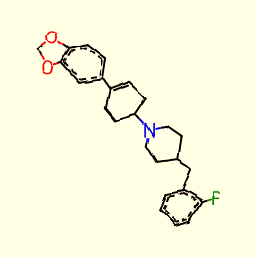 Fc1ccccc1CC1CCN(C2CC=C(c3ccc4c(c3)OCO4)CC2)CC1